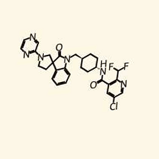 O=C(N[C@H]1CC[C@H](CN2C(=O)C3(CCN(c4cnccn4)C3)c3ccccc32)CC1)c1cc(Cl)cnc1C(F)F